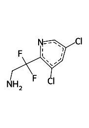 NCC(F)(F)c1ncc(Cl)cc1Cl